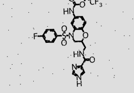 CC(C)(OC(=O)Nc1ccc2c(c1)N(S(=O)(=O)c1ccc(F)cc1)CC(CNC(=O)c1c[nH]cn1)O2)C(F)(F)F